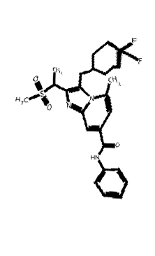 Cc1cc(C(=O)Nc2ccccc2)cc2nc(C(C)S(C)(=O)=O)c(CC3CCC(F)(F)CC3)n12